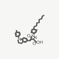 CCCCCCCCc1ccc(N2N=C(C(=O)O)/C(=C/c3ccc4c(c3)CCCN4c3ccc(C)cc3)C2=O)cc1